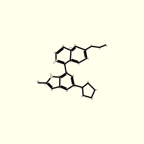 CCCc1ccc2c(-c3cc(C4CCCC4)cc4cc(C)oc34)nccc2c1